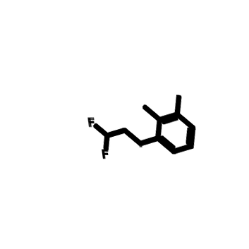 Cc1cccc([CH]CC(F)F)c1C